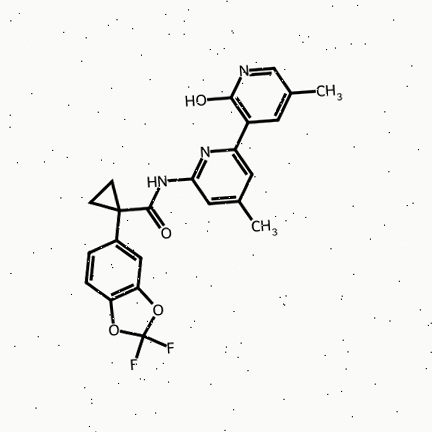 Cc1cc(NC(=O)C2(c3ccc4c(c3)OC(F)(F)O4)CC2)nc(-c2cc(C)cnc2O)c1